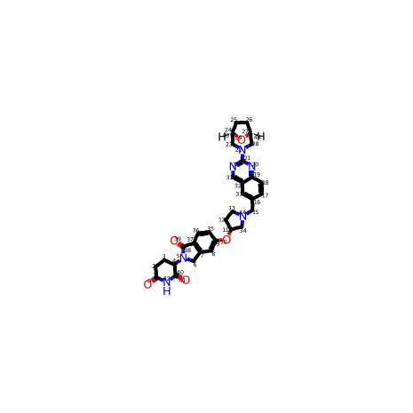 O=C1CCC(N2Cc3cc(OC4CCN(Cc5ccc6nc(N7C[C@H]8CC[C@@H](C7)O8)ncc6c5)C4)ccc3C2=O)C(=O)N1